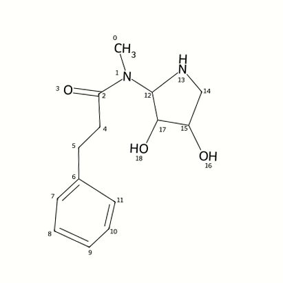 CN(C(=O)CCc1ccccc1)C1NCC(O)C1O